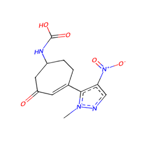 Cn1ncc([N+](=O)[O-])c1C1=CC(=O)CC(NC(=O)O)CC1